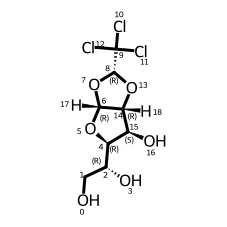 OC[C@@H](O)[C@H]1O[C@@H]2O[C@H](C(Cl)(Cl)Cl)O[C@@H]2[C@H]1O